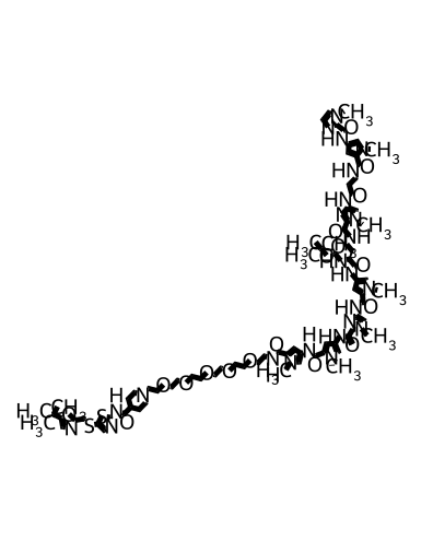 Cn1cc(NC(=O)c2cc(NC(=O)c3nc(NC(=O)c4cc(NC(=O)[C@H](CCNC(=O)c5nc(NC(=O)CCNC(=O)c6cc(NC(=O)c7nccn7C)cn6C)cn5C)NC(=O)OC(C)(C)C)cn4C)cn3C)cn2C)cc1C(=O)NCCOCCOCCOCCOCCOCCN1CCC(C(=O)Nc2ncc(SCc3ncc(C(C)(C)C)o3)s2)CC1